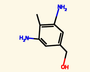 Cc1c(N)cc(CO)cc1N